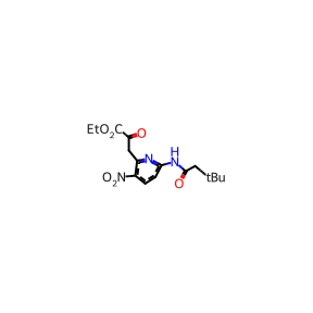 CCOC(=O)C(=O)Cc1nc(NC(=O)CC(C)(C)C)ccc1[N+](=O)[O-]